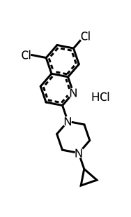 Cl.Clc1cc(Cl)c2ccc(N3CCN(C4CC4)CC3)nc2c1